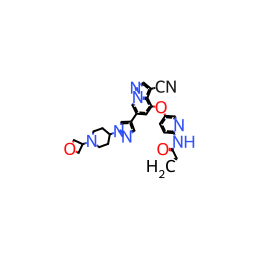 C=CC(=O)Nc1ccc(Oc2cc(-c3cnn(C4CCN(C5COC5)CC4)c3)cn3ncc(C#N)c23)cn1